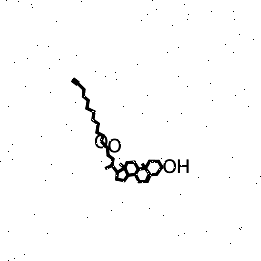 C#CCCCCCCCCCOC(=O)CCC(C)C1CCC2C3CC=C4CC(O)CCC4(C)C3CCC12C